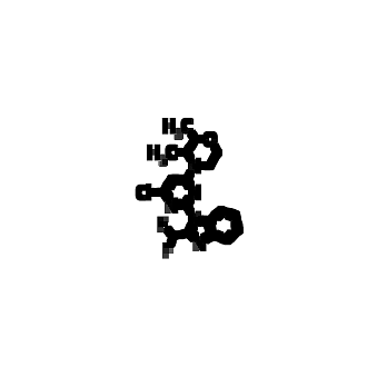 CC1OCCN(c2cc(Cl)nc(-n3c(C(F)F)nc4ccccc43)n2)C1C